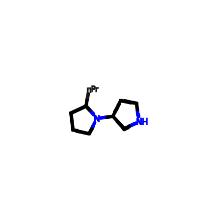 CCCC1CCCN1C1CCNC1